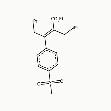 CCOC(=O)/C(CC(C)C)=C(\CC(C)C)c1ccc(S(C)(=O)=O)cc1